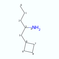 CCCC(N)CC1CCC1